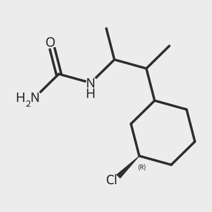 CC(NC(N)=O)C(C)C1CCC[C@@H](Cl)C1